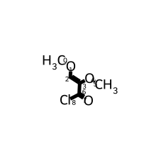 COC=C(OC)C(=O)Cl